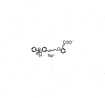 O=C([O-])CCc1ccccc1OCCC/C=C/c1cccc(NS(=O)(=O)c2ccccc2)c1.[Na+]